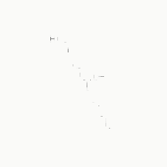 [CH2]CCCCCCCC(O)CCCCCCO